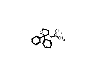 CN(C)C[C@H]1CCOC1(c1ccccc1)c1ccccc1